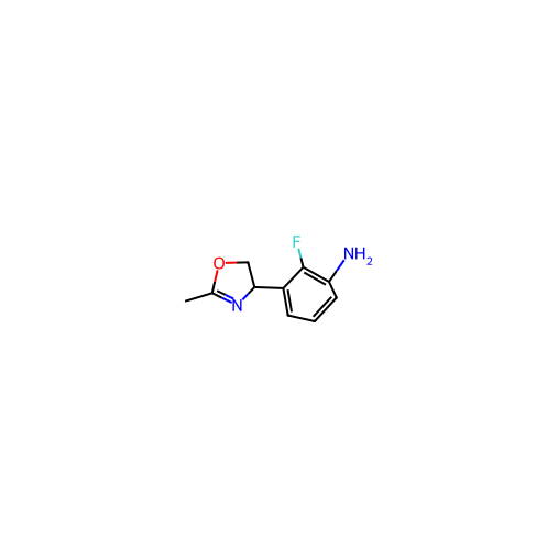 CC1=NC(c2cccc(N)c2F)CO1